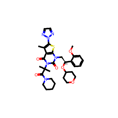 COc1ccccc1[C@H](Cn1c(=O)n(C(C)(C)C(=O)N2CCCCC2)c(=O)c2c(C)c(-n3nccn3)sc21)OC1CCOCC1